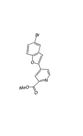 COC(=O)c1cc(-c2cc3cc(Br)ccc3o2)ccn1